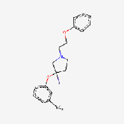 O=[N+]([O-])c1cccc(OC2(I)CCN(CCOc3ccccc3)C2)c1